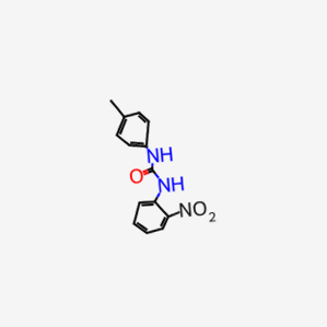 Cc1ccc(NC(=O)Nc2ccccc2[N+](=O)[O-])cc1